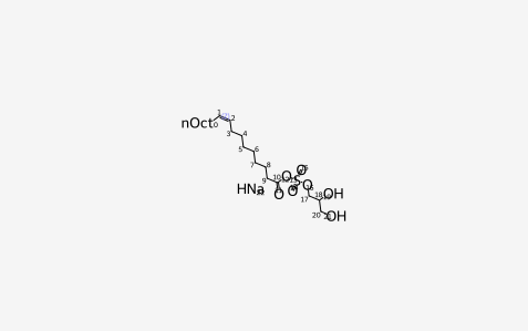 CCCCCCCC/C=C\CCCCCCCC(=O)OS(=O)(=O)OCC(O)CO.[NaH]